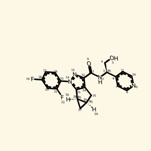 O=C(N[C@@H](CO)c1ccncc1)c1nn(-c2ccc(F)cc2F)c2c1C[C@H]1C[C@@H]21